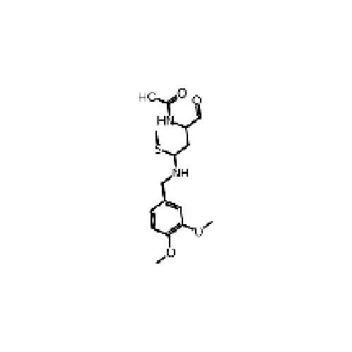 COc1ccc(CNC(CC(C=O)NC(=O)O)SC)cc1OC